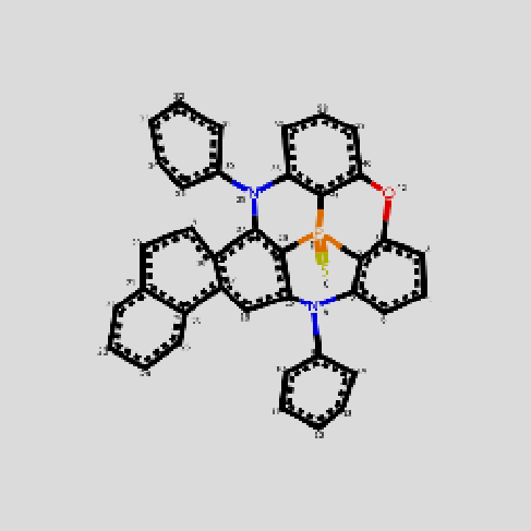 S=P12c3c4cccc3N(c3ccccc3)c3cc5c(ccc6ccccc65)c(c31)N(c1ccccc1)c1cccc(c12)O4